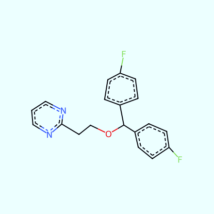 Fc1ccc(C(OCCc2ncccn2)c2ccc(F)cc2)cc1